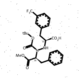 COC(=O)[C@H](Cc1ccccc1)N(N[C@@H](Cc1cccc(C(F)(F)F)c1)C(=O)O)C(=O)OC(C)(C)C